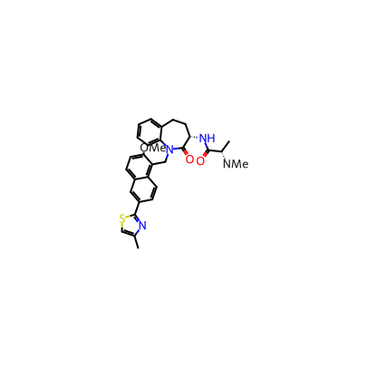 CN[C@@H](C)C(=O)N[C@H]1CCc2ccccc2N(Cc2c(OC)ccc3cc(-c4nc(C)cs4)ccc23)C1=O